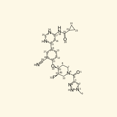 Cn1cc(C(=O)N2CC[C@H](Oc3ccc(-c4cc(NC(=O)C5CC5)ncn4)cc3C#N)[C@H](F)C2)nn1